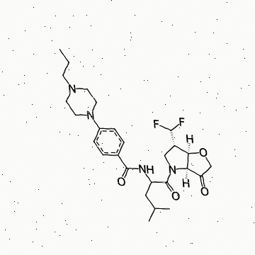 CCCN1CCN(c2ccc(C(=O)NC(CC(C)C)C(=O)N3C[C@H](C(F)F)[C@H]4OCC(=O)[C@H]43)cc2)CC1